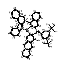 Cc1c2c(cc3cc4ccccc4cc13)B1c3c(cc4ccccc4c3-c3cc4ccccc4c4c5ccccc5n1c34)N2c1cc(C(C)(C)C)cc(C(C)(C)C)c1